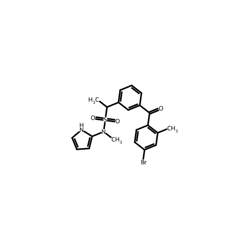 Cc1cc(Br)ccc1C(=O)c1cccc(C(C)S(=O)(=O)N(C)c2ccc[nH]2)c1